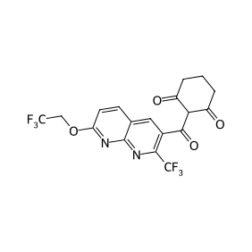 O=C1CCCC(=O)C1C(=O)c1cc2ccc(OCC(F)(F)F)nc2nc1C(F)(F)F